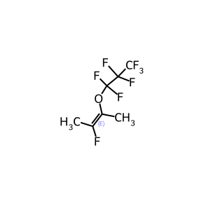 C/C(F)=C(/C)OC(F)(F)C(F)(F)C(F)(F)F